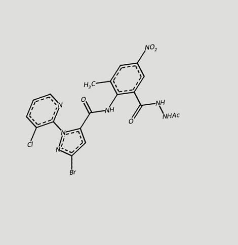 CC(=O)NNC(=O)c1cc([N+](=O)[O-])cc(C)c1NC(=O)c1cc(Br)nn1-c1ncccc1Cl